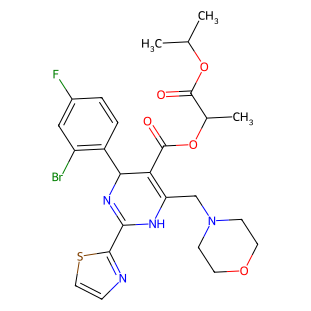 CC(C)OC(=O)C(C)OC(=O)C1=C(CN2CCOCC2)NC(c2nccs2)=NC1c1ccc(F)cc1Br